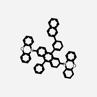 C1=CC2=C(CC1)Oc1ccccc1N2C1C=c2c(C3=CCCC(c4ccc5ccccc5c4)=C3)c3ccc(N4c5ccccc5Oc5ccccc54)cc3c(-c3ccccc3)c2=CC1